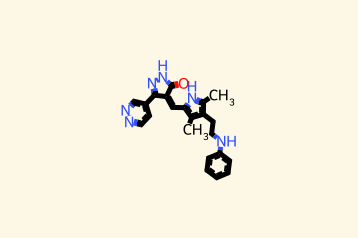 Cc1[nH]c(C=C2C(=O)NN=C2c2ccnnc2)c(C)c1CCNc1ccccc1